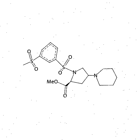 COC(=O)[C@@H]1CC(N2CCCCC2)CN1S(=O)(=O)c1cccc(S(C)(=O)=O)c1